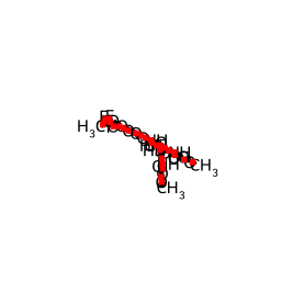 CCOCCOCCC(=O)NCCCC[C@H](NC(=O)CCCNC(=O)CCOCCOCC)C(=O)NCC(=O)NCCOCCOCCOCCOCCC(=O)Oc1c(F)c(F)c2c(c1F)C2C